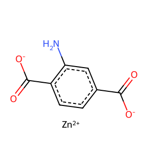 Nc1cc(C(=O)[O-])ccc1C(=O)[O-].[Zn+2]